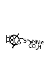 CNC(CSCC1O/C2=C(/C)CCCCC1(C)C(O)C2O)C(=O)O